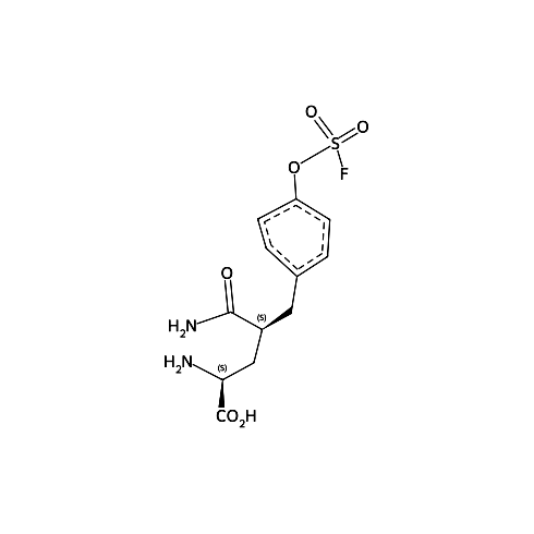 NC(=O)[C@@H](Cc1ccc(OS(=O)(=O)F)cc1)C[C@H](N)C(=O)O